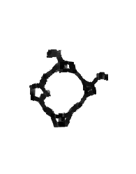 CC(C)(C)c1cc2[nH]c1cc1nc(cc3ccc(cc4cc(C(C)(C)C)c2[nH]4)[nH]3)C=C1